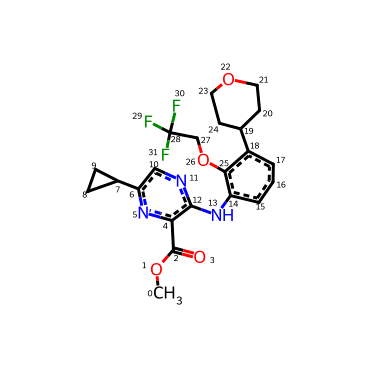 COC(=O)c1nc(C2CC2)cnc1Nc1cccc(C2CCOCC2)c1OCC(F)(F)F